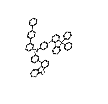 c1ccc(-c2ccc(-c3cccc(N(c4ccc(-c5cccc6c5-c5ccccc5C6(c5ccccc5)c5ccccc5)cc4)c4cccc(-c5cccc6oc7ccccc7c56)c4)c3)cc2)cc1